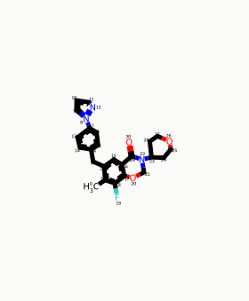 Cc1c(Cc2ccc(-n3cccn3)cc2)cc2c(c1F)OCN(C1CCOCC1)C2=O